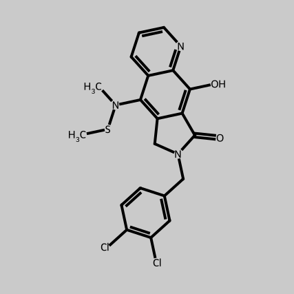 CSN(C)c1c2c(c(O)c3ncccc13)C(=O)N(Cc1ccc(Cl)c(Cl)c1)C2